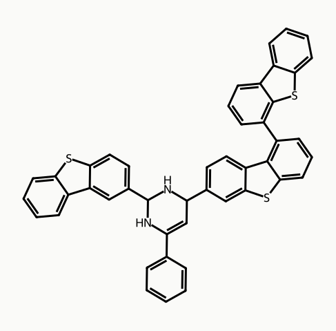 C1=C(c2ccccc2)NC(c2ccc3sc4ccccc4c3c2)NC1c1ccc2c(c1)sc1cccc(-c3cccc4c3sc3ccccc34)c12